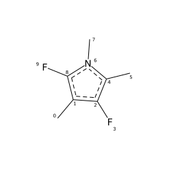 Cc1c(F)c(C)n(C)c1F